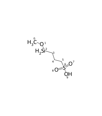 CO[SiH2]CCCS(=O)(=O)O